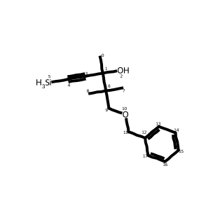 CC(O)(C#C[SiH3])C(C)(C)COCc1ccccc1